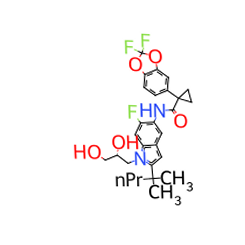 CCCC(C)(C)c1cc2cc(NC(=O)C3(c4ccc5c(c4)OC(F)(F)O5)CC3)c(F)cc2n1C[C@@H](O)CO